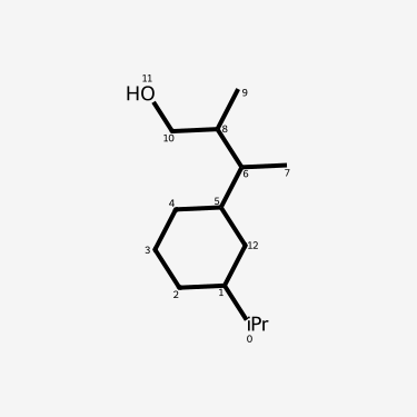 CC(C)C1CCCC(C(C)C(C)CO)C1